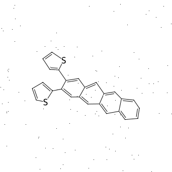 c1csc(-c2cc3cc4cc5ccccc5cc4cc3cc2-c2cccs2)c1